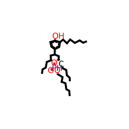 CCCCCCCO[PH](=O)OC(CCCCCC)CC(CCCCCC)c1ccc(O)c(CCCCCCC)c1